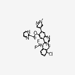 C[C@H](Oc1cc2c(N(c3cccc(Cl)c3F)C(F)F)ncnc2cc1-c1cnn(C)c1)c1ncccn1